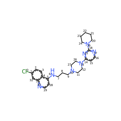 Clc1ccc2c(NCCCN3CCN(c4ccnc(N5CCCCC5)n4)CC3)ccnc2c1